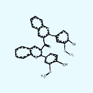 COc1cc(-c2nc3ccccc3cc2C(=O)c2cc3ccccc3nc2-c2ccc(O)c(OC)c2)ccc1O